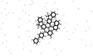 Cc1cc2c3c(c1)N(c1ccc(-c4ccccc4)cc1)c1cc4c(cc1B3N(c1ccc3c(c1)-c1ccccc1C3(C)C)c1c-2ccc2ccccc12)-c1ccccc1C4(C)C